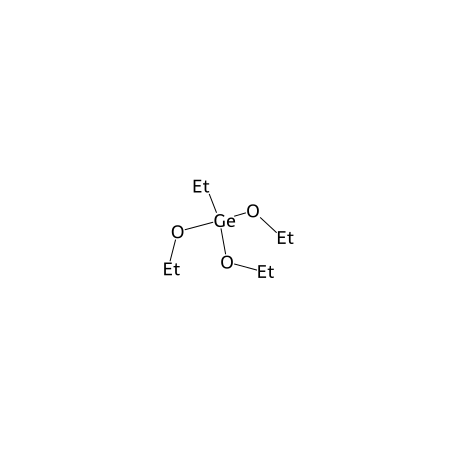 [CH2][CH2][Ge]([O]CC)([O]CC)[O]CC